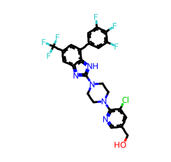 OCc1cnc(N2CCN(c3nc4cc(C(F)(F)F)cc(-c5cc(F)c(F)c(F)c5)c4[nH]3)CC2)c(Cl)c1